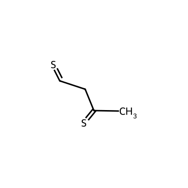 CC(=S)CC=S